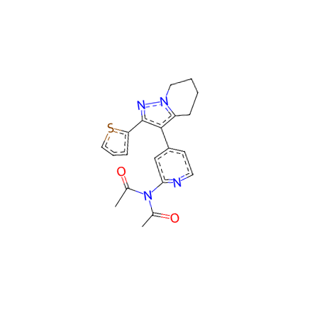 CC(=O)N(C(C)=O)c1cc(-c2c(-c3cccs3)nn3c2CCCC3)ccn1